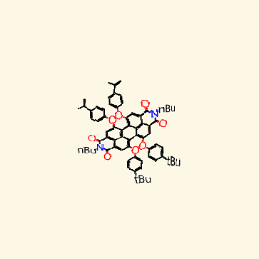 C=C(C)c1ccc(Oc2cc3c4c(cc(Oc5ccc(C(C)(C)C)cc5)c5c6c(Oc7ccc(C(C)(C)C)cc7)cc7c8c(cc(Oc9ccc(C(=C)C)cc9)c(c2c45)c86)C(=O)N(CCCC)C7=O)C(=O)N(CCCC)C3=O)cc1